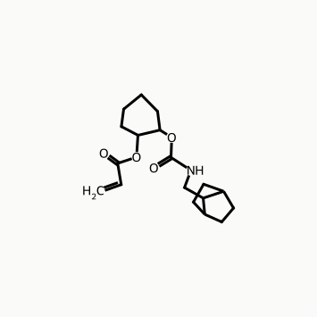 C=CC(=O)OC1CCCCC1OC(=O)NCC1C2CCC1CC2